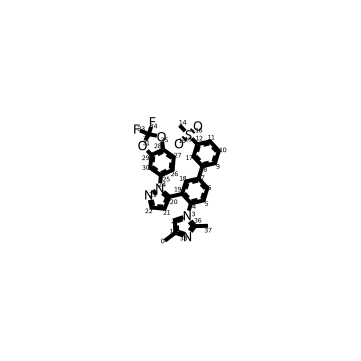 Cc1cn(-c2ccc(-c3cccc(S(C)(=O)=O)c3)cc2-c2ccnn2-c2ccc3c(c2)OC(F)(F)O3)c(C)n1